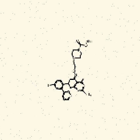 Cc1nc(N)nc2c1/C(=N/OCCN1CCN(C(=O)OC(C)(C)C)CC1)CC(c1ccc(F)cc1-c1cccnc1)C2